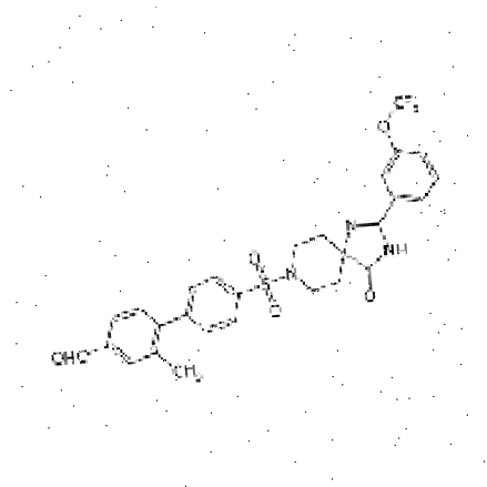 Cc1cc(C=O)ccc1-c1ccc(S(=O)(=O)N2CCC3(CC2)N=C(c2cccc(OC(F)(F)F)c2)NC3=O)cc1